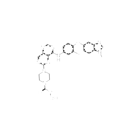 Cn1cnc2cc(Oc3ccc(Nc4ncnc5cnc(N6CCN(C(=O)OC(C)(C)C)CC6)nc45)cc3F)ccc21